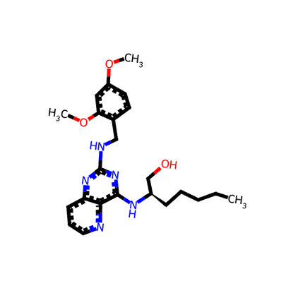 CCCCC[C@H](CO)Nc1nc(NCc2ccc(OC)cc2OC)nc2cccnc12